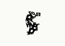 CCOC(=O)c1cnc(NC2(c3ccccc3F)CCC2)nc1